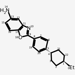 CC[C@H]1CC[C@H](c2ccc(-c3nc4cc(N)ccc4o3)cc2)CC1